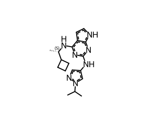 CC(C)n1cc(Nc2nc(N[C@@H](C)C3CCC3)c3cc[nH]c3n2)cn1